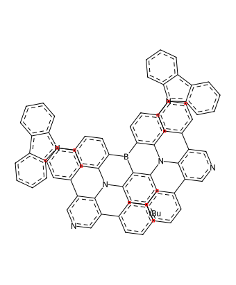 CC(C)(C)c1cc2c3c(c1)N(c1c(-c4ccccc4)cncc1-c1ccccc1)c1cc(-n4c5ccccc5c5ccccc54)ccc1B3c1ccc(-n3c4ccccc4c4ccccc43)cc1N2c1c(-c2ccccc2)cncc1-c1ccccc1